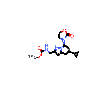 CC(C)(C)OC(=O)NCc1cc2cc(C3CC3)cc(N3CCOC3=O)n2n1